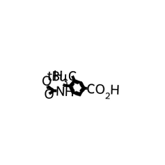 Cc1cc(C(=O)O)ccc1CNC1OC1OC(C)(C)C